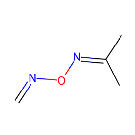 C=NON=C(C)C